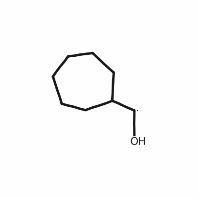 O[CH]C1CCCCCC1